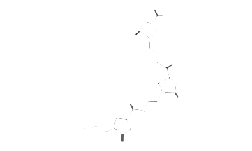 COC(=O)C1CC(=O)N(CCNC(=O)C2CC(=O)N(CCNC(=O)C3CC(=O)N(CCSC)C3)C2)C1